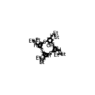 CCN(CC)Cc1cc2c(O)c(c1)Sc1cc(CN(CC)CC)cc(c1O)Sc1cc(CN(CC)CC)cc(c1O)Sc1cc(CN(CC)CC)cc(c1O)S2